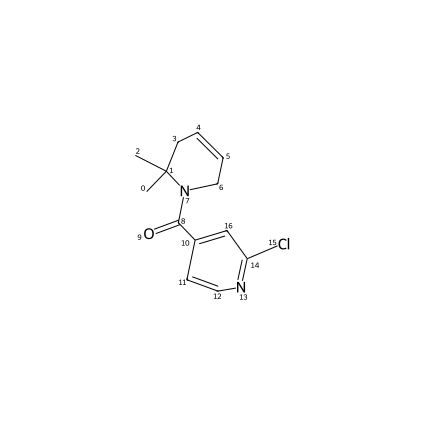 CC1(C)CC=CCN1C(=O)c1ccnc(Cl)c1